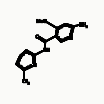 COc1cc(N)ncc1C(=O)Nc1cccc(C(F)(F)F)n1